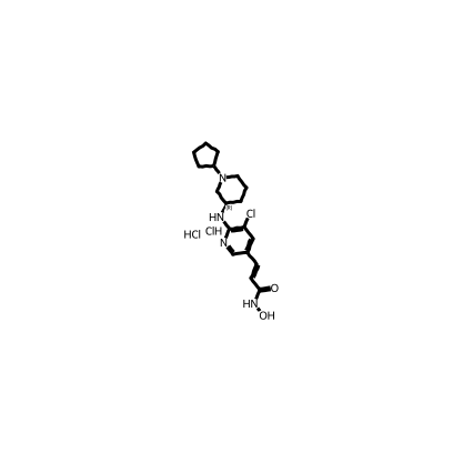 Cl.Cl.O=C(C=Cc1cnc(N[C@@H]2CCCN(C3CCCC3)C2)c(Cl)c1)NO